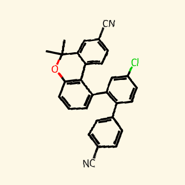 CC1(C)Oc2cccc(-c3cc(Cl)ccc3-c3ccc(C#N)cc3)c2-c2ccc(C#N)cc21